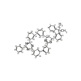 CC1(C)c2ccccc2-c2c(-c3cc(-c4cccc(-c5cccc(-c6nc(-c7ccccc7)nc(-c7ccccc7)n6)c5)c4)nc(-c4ccccc4)n3)cccc21